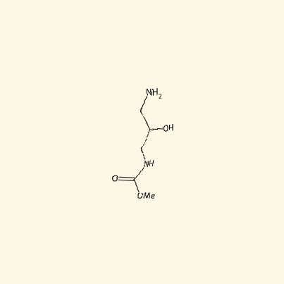 COC(=O)NCC(O)CN